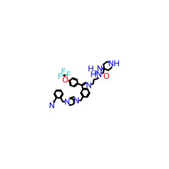 N#Cc1ccccc1CN1CC2CC1CN2Cc1ccc2c(c1)c(-c1ccc(OC(F)(F)F)cc1)cn2CCCNC(=O)C1(N)CCNCC1